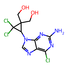 Nc1nc(Cl)c2ncn(C3C(Cl)(Cl)C3(CO)CO)c2n1